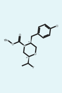 CC(F)[C@H]1CN(C(=O)OC(C)(C)C)[C@@H](Cc2ccc(Cl)cc2)CO1